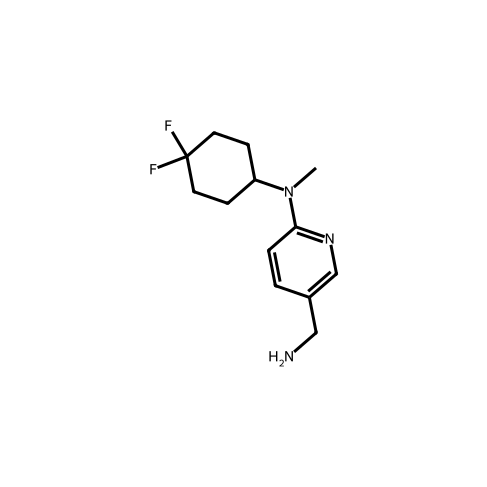 CN(c1ccc(CN)cn1)C1CCC(F)(F)CC1